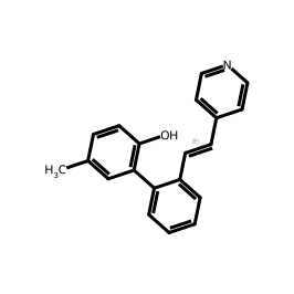 Cc1ccc(O)c(-c2ccccc2/C=C/c2ccncc2)c1